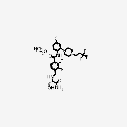 Cl.Cl.NC(=O)[C@H](CO)NCc1ccc(C(=O)Nc2ccc(Cl)cc2N2CCN(CCC(F)(F)F)CC2)c(F)c1F.O